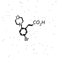 O=C(O)C=Cc1cc(Br)ccc1N1CCOCC1